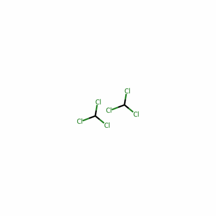 ClC(Cl)Cl.ClC(Cl)Cl